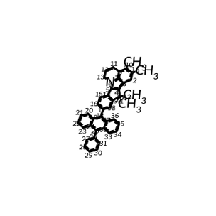 Cc1cc2c3c(n4c2c(c1C)C=CC4)-c1ccc(-c2c4ccccc4c(-c4ccccc4)c4ccccc24)cc1C3(C)C